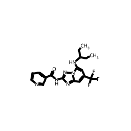 CCC(CC)Nc1cc(C(F)(F)F)cc2nc(NC(=O)c3cccnc3)nn12